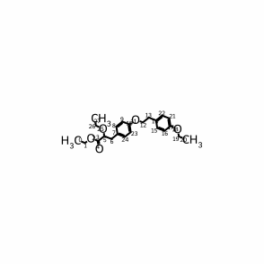 CCOC(=O)C(Cc1ccc(OCCc2ccc(OCC)cc2)cc1)OCC